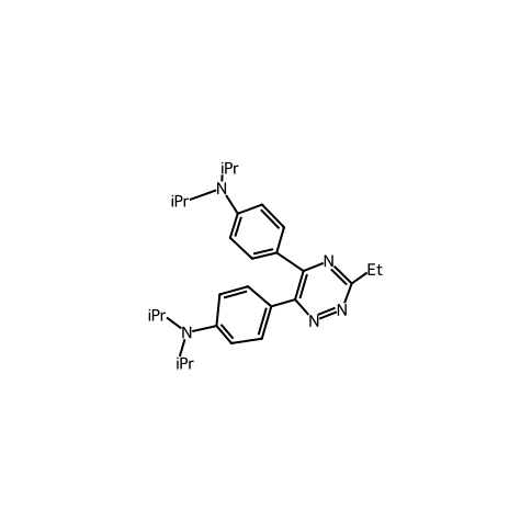 CCc1nnc(-c2ccc(N(C(C)C)C(C)C)cc2)c(-c2ccc(N(C(C)C)C(C)C)cc2)n1